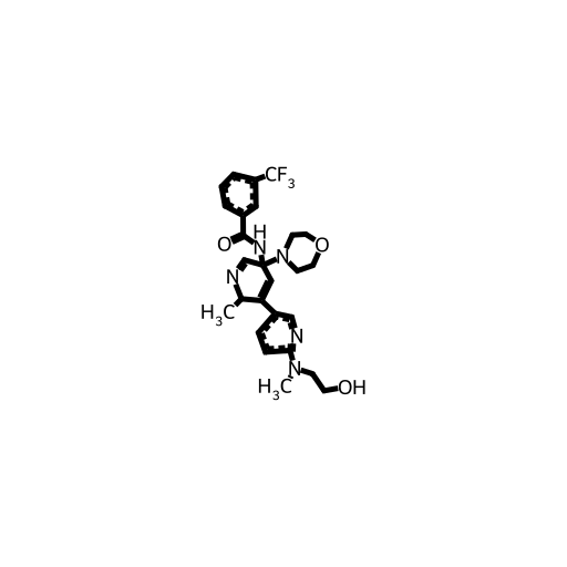 CC1N=CC(NC(=O)c2cccc(C(F)(F)F)c2)(N2CCOCC2)C=C1c1ccc(N(C)CCO)nc1